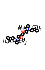 CC1(C)c2ccccc2-c2ccc(N3c4ccccc4C(C)(C)c4c3ccc3c4oc4cc5c(cc43)oc3c4c(ccc35)N(c3ccc5c(c3)C(C)(C)c3ccccc3-5)c3ccccc3C4(C)C)cc21